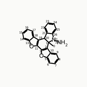 CC12c3c(oc4ccccc34)-c3oc4ccccc4c3C1c1ccccc1N2N